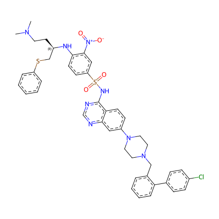 CN(C)CC[C@H](CSc1ccccc1)Nc1ccc(S(=O)(=O)Nc2ncnc3cc(N4CCN(Cc5ccccc5-c5ccc(Cl)cc5)CC4)ccc23)cc1[N+](=O)[O-]